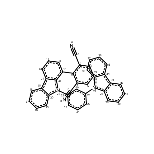 N#Cc1cccc(C#N)c1-c1cccc2c3ccccc3n(-c3cccc(-n4c5ccccc5c5ccccc54)c3)c12